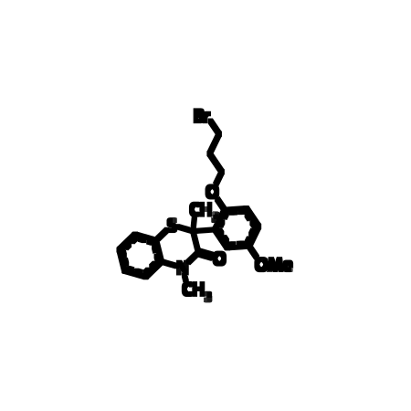 COc1ccc(OCCCBr)c(C2(C)Sc3ccccc3N(C)C2=O)c1